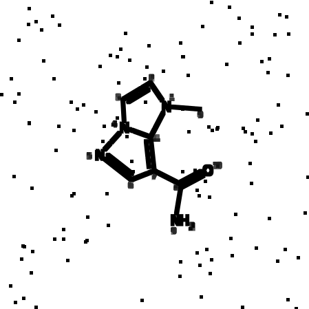 Cn1ccn2ncc(C(N)=O)c12